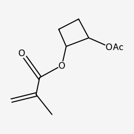 C=C(C)C(=O)OC1CCC1OC(C)=O